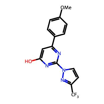 COc1ccc(-c2cc(O)nc(-n3ccc(C(F)(F)F)n3)n2)cc1